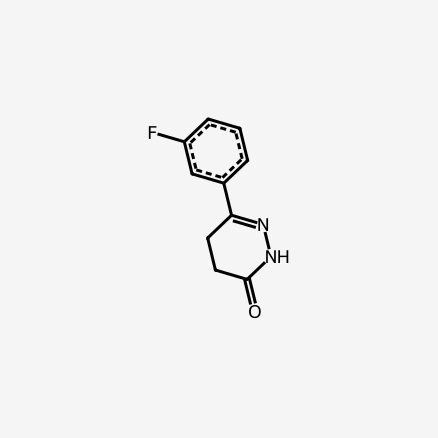 O=C1CCC(c2cccc(F)c2)=NN1